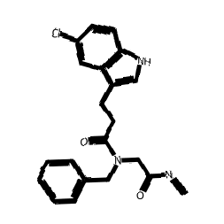 C=NC(=O)CN(Cc1ccccc1)C(=O)CCc1c[nH]c2ccc(Cl)cc12